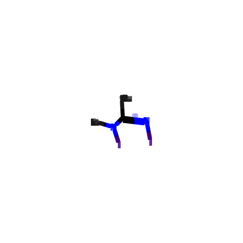 CCN(I)/C(=N\I)C(C)(C)C